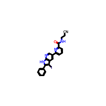 N#CCCNC(=O)c1cccc(-c2cnc3[nH]c(-c4ccccc4)c(I)c3c2)n1